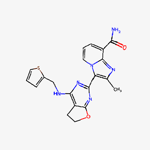 Cc1nc2c(C(N)=O)cccn2c1-c1nc(NCc2cccs2)c2c(n1)OCC2